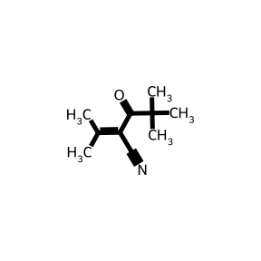 CC(C)=C(C#N)C(=O)C(C)(C)C